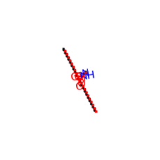 CCCCCCCCC=CCCCCCCCC(=O)OCC(COC(=O)CCCCCCCC=CCCCCCCCC)OC(=O)NCN(C)C